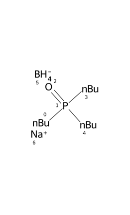 CCCCP(=O)(CCCC)CCCC.[BH4-].[Na+]